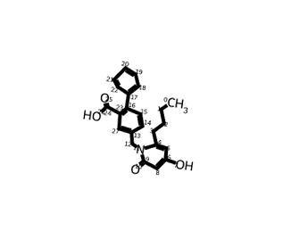 CCCCc1cc(O)cc(=O)n1Cc1ccc(-c2ccccc2)c(C(=O)O)c1